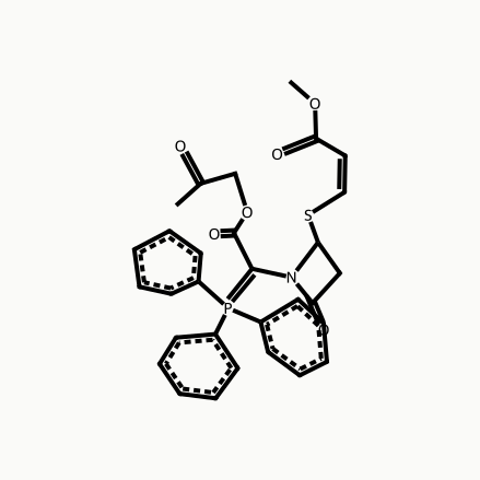 COC(=O)/C=C\SC1CC(=O)N1C(C(=O)OCC(C)=O)=P(c1ccccc1)(c1ccccc1)c1ccccc1